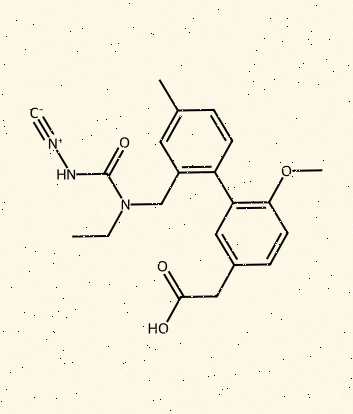 [C-]#[N+]NC(=O)N(CC)Cc1cc(C)ccc1-c1cc(CC(=O)O)ccc1OC